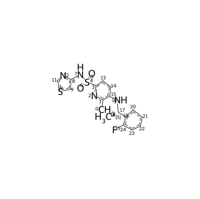 Cc1nc(S(=O)(=O)Nc2cscn2)ccc1N[C@@H](C)c1ccccc1F